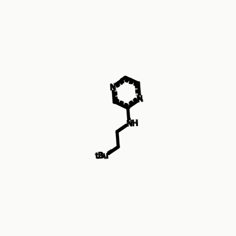 CC(C)(C)CCNc1cnccn1